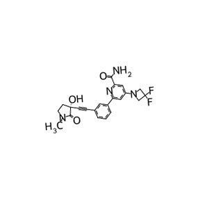 CN1CC[C@@](O)(C#Cc2cccc(-c3cc(N4CC(F)(F)C4)cc(C(N)=O)n3)c2)C1=O